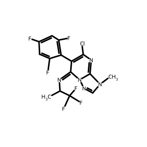 CC(/N=c1/c(-c2c(F)cc(F)cc2F)c(Cl)nc2n(C)cnn12)C(F)(F)F